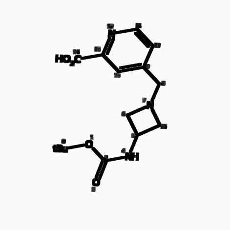 CC(C)(C)OC(=O)NC1CN(Cc2ccnc(C(=O)O)c2)C1